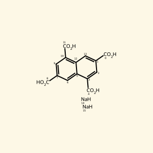 O=C(O)c1cc(C(=O)O)c2cc(C(=O)O)cc(C(=O)O)c2c1.[NaH].[NaH]